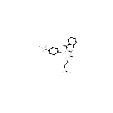 CN(C)CCNC(=O)c1nc2ccccc2c(=O)n1Nc1ccc(S(N)(=O)=O)cc1